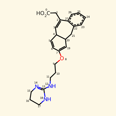 O=C(O)CC1=CC2C=CC(OCCCNC3=NCCCN3)=CC2Cc2ccccc21